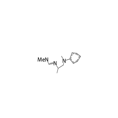 CN/C=N/C(C)CN(C)c1ccccc1